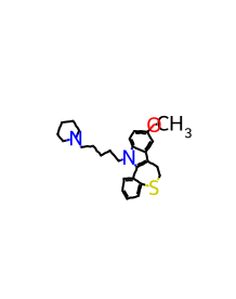 COc1ccc2c(c1)c1c(n2CCCCCN2CCCCC2)-c2ccccc2SCC1